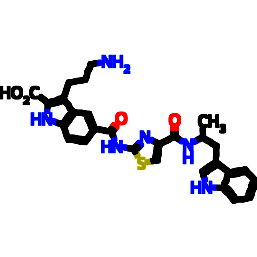 CC(Cc1c[nH]c2ccccc12)NC(=O)c1csc(NC(=O)c2ccc3[nH]c(C(=O)O)c(CCCN)c3c2)n1